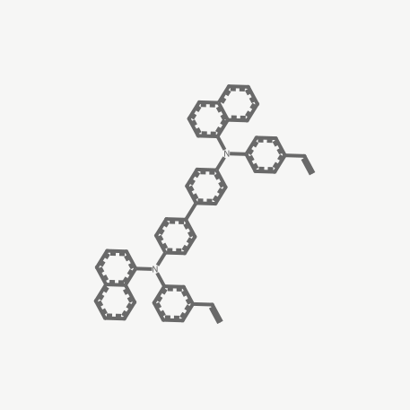 C=Cc1ccc(N(c2ccc(-c3ccc(N(c4cccc(C=C)c4)c4cccc5ccccc45)cc3)cc2)c2cccc3ccccc23)cc1